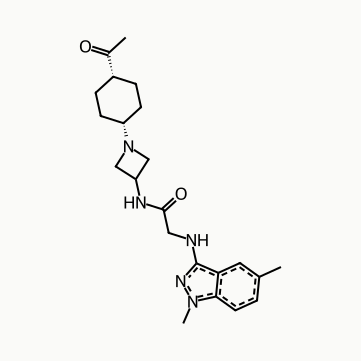 Cc1ccc2c(c1)c(NCC(=O)NC1CN([C@H]3CC[C@@H](C(C)=O)CC3)C1)nn2C